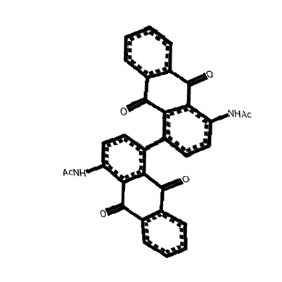 CC(=O)Nc1ccc(-c2ccc(NC(C)=O)c3c2C(=O)c2ccccc2C3=O)c2c1C(=O)c1ccccc1C2=O